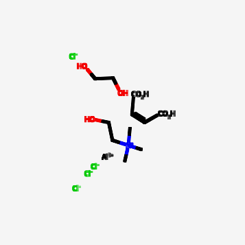 C[N+](C)(C)CCO.O=C(O)/C=C\C(=O)O.OCCO.[Al+3].[Cl-].[Cl-].[Cl-].[Cl-]